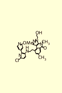 COc1cc(-c2nc(Cl)ccc2NCCc2cc(C)cc3c(=O)n(C)c4c(cnn4CCO)c23)ccn1